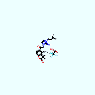 CCC(CC)CCn1ccn(CC(=O)c2ccc3c(c2C(C)(C)C)C(C)(C)C(=O)O3)c1=N.O=C(O)C(F)(F)F